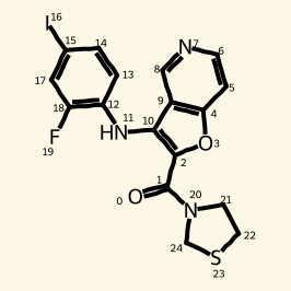 O=C(c1oc2ccncc2c1Nc1ccc(I)cc1F)N1CCSC1